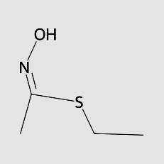 CCS/C(C)=N\O